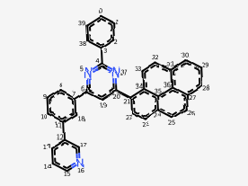 c1ccc(-c2nc(-c3cccc(-c4cccnc4)c3)cc(-c3ccc4ccc5cccc6ccc3c4c56)n2)cc1